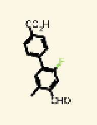 Cc1cc(-c2ccc(C(=O)O)cc2)c(F)cc1[C]=O